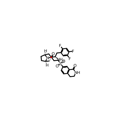 N[C@H](Cc1cc(F)c(F)cc1F)[C@@H]1C[C@H]2CC[C@@H](C1)N2C(=O)CCS(=O)(=O)c1ccc2c(c1)C(=O)NCC2